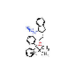 CC(C)(C)[Si](OCC[C@H]1Cc2ccccc2[C@@H]1N=[N+]=[N-])(c1ccccc1)c1ccccc1